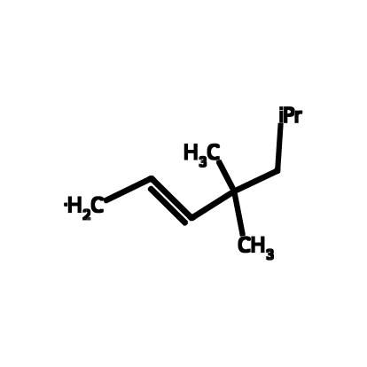 [CH2]/C=C/C(C)(C)CC(C)C